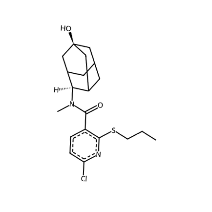 CCCSc1nc(Cl)ccc1C(=O)N(C)[C@H]1C2CC3CC1C[C@@](O)(C3)C2